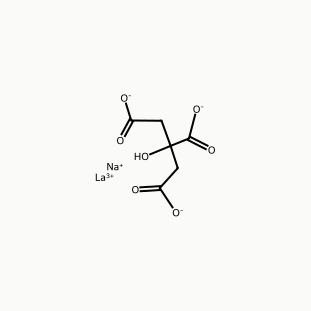 O=C([O-])CC(O)(CC(=O)[O-])C(=O)[O-].[La+3].[Na+]